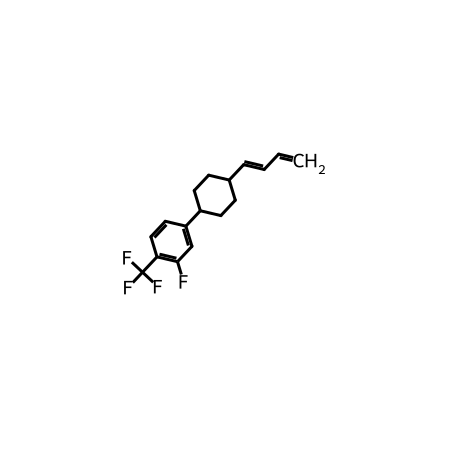 C=CC=CC1CCC(c2ccc(C(F)(F)F)c(F)c2)CC1